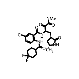 CNC(=O)C(=O)C(C[C@@H]1C[C@@H](C)NC1=O)NC(=O)c1cc(Cl)ccc1NC(=O)C1CCC(F)(F)CC1